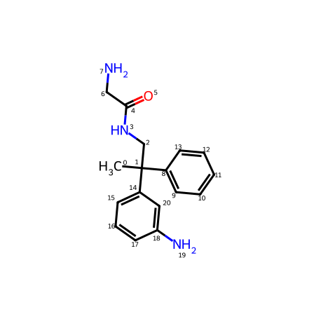 CC(CNC(=O)CN)(c1ccccc1)c1cccc(N)c1